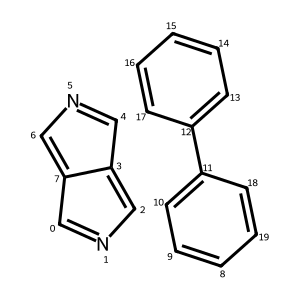 C1=NC=C2C=NC=C12.c1ccc(-c2ccccc2)cc1